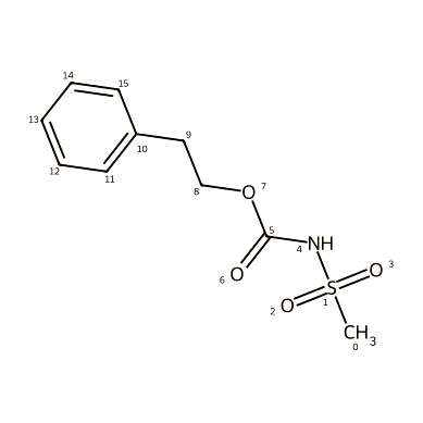 CS(=O)(=O)NC(=O)OCCc1ccccc1